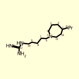 CC(C)C1CCCN(CCCCCNC(=N)N)CC1